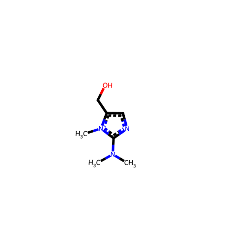 CN(C)c1ncc(CO)n1C